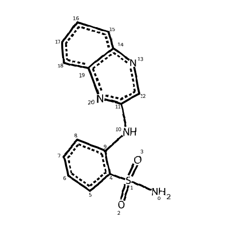 NS(=O)(=O)c1ccccc1Nc1cnc2ccccc2n1